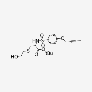 CC#CCOc1ccc(S(=O)(=O)NC(CSCCO)C(=O)OC(C)(C)C)cc1